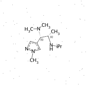 CC(C)N[C@@H](C)[C@H](c1cnn(C)c1)N(C)C